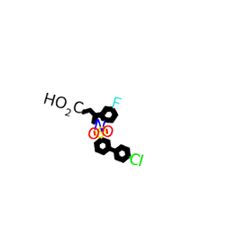 O=C(O)CCc1cn(S(=O)(=O)c2cccc(-c3ccc(Cl)cc3)c2)c2ccc(F)cc12